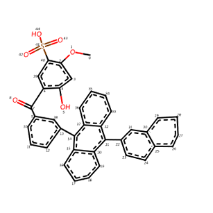 COc1cc(O)c(C(=O)c2cccc(-c3c4ccccc4c(-c4ccc5ccccc5c4)c4ccccc34)c2)cc1S(=O)(=O)O